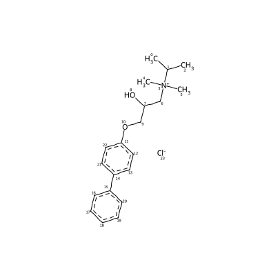 CC(C)[N+](C)(C)CC(O)COc1ccc(-c2ccccc2)cc1.[Cl-]